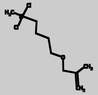 C=C(C)COCCCC[Si](C)(Cl)Cl